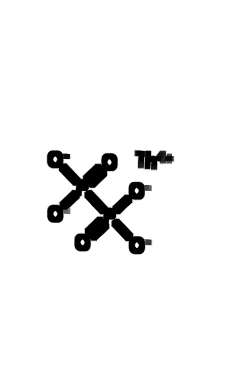 O=P([O-])([O-])P(=O)([O-])[O-].[Th+4]